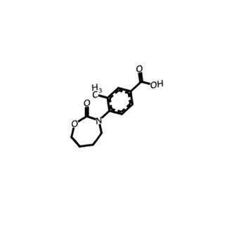 Cc1cc(C(=O)O)ccc1N1CCCCOC1=O